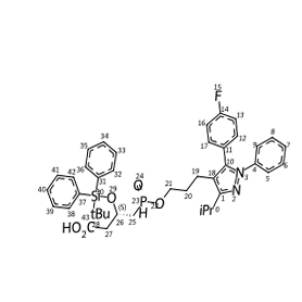 CC(C)c1nn(-c2ccccc2)c(-c2ccc(F)cc2)c1CCCO[PH](=O)C[C@H](CC(=O)O)O[Si](c1ccccc1)(c1ccccc1)C(C)(C)C